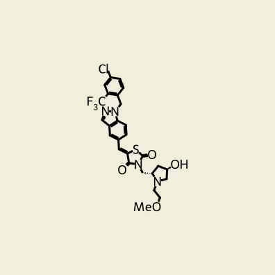 COCCN1C[C@H](O)C[C@H]1CN1C(=O)S/C(=C\c2ccc3c(cnn3Cc3ccc(Cl)cc3C(F)(F)F)c2)C1=O